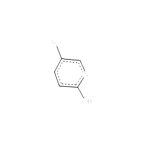 [CH2]c1ccc(Br)cn1